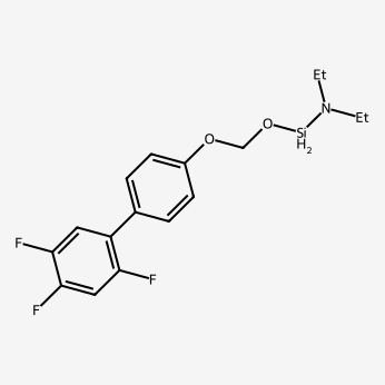 CCN(CC)[SiH2]OCOc1ccc(-c2cc(F)c(F)cc2F)cc1